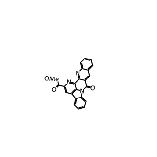 COC(=O)c1cc2c3ccccc3n3c(=O)c4cc5ccccc5nc4c(n1)c23